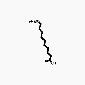 CCCCCCCCCCCCCCCCC(O)F